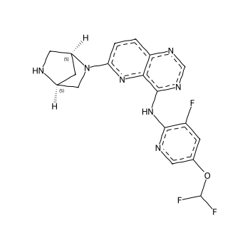 Fc1cc(OC(F)F)cnc1Nc1ncnc2ccc(N3C[C@@H]4C[C@H]3CN4)nc12